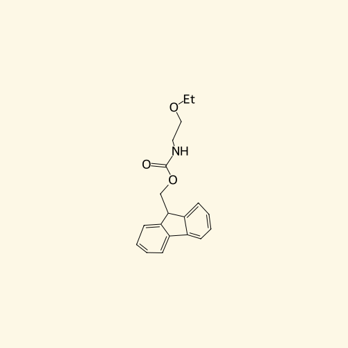 CCOCCNC(=O)OCC1c2ccccc2-c2ccccc21